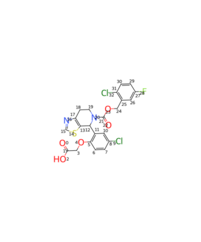 O=C(O)COc1ccc(Cl)cc1C1c2scnc2CCN1C(=O)OCc1cc(F)ccc1Cl